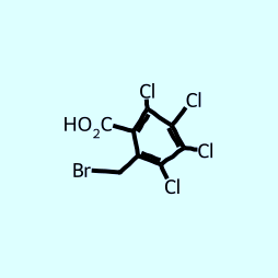 O=C(O)c1c(Cl)c(Cl)c(Cl)c(Cl)c1CBr